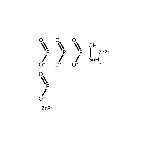 O=P[O-].O=P[O-].O=P[O-].O=P[O-].[OH][SnH3].[Zn+2].[Zn+2]